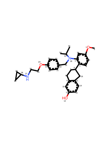 COc1ccc(C2CCc3cc(O)ccc3C2)c(N(Cc2ccc(OCCNC3CC3)cc2)C(C)C)c1